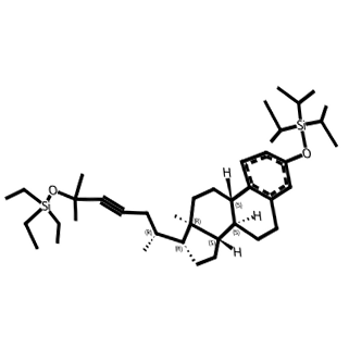 CC[Si](CC)(CC)OC(C)(C)C#CC[C@@H](C)[C@H]1CC[C@H]2[C@@H]3CCc4cc(O[Si](C(C)C)(C(C)C)C(C)C)ccc4[C@H]3CC[C@]12C